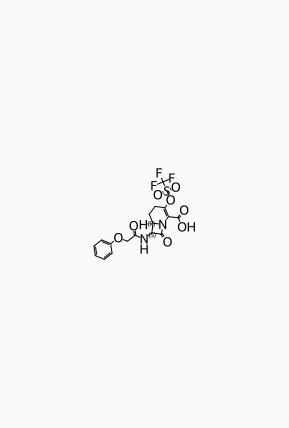 O=C(COc1ccccc1)N[C@@H]1C(=O)N2C(C(=O)O)=C(OS(=O)(=O)C(F)(F)F)CC[C@H]12